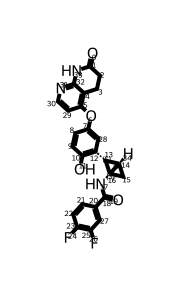 O=C1CCc2c(Oc3ccc(O)c([C@@H]4[C@@H]5C[C@@]45NC(=O)c4ccc(F)c(F)c4)c3)ccnc2N1